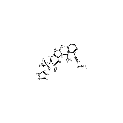 CC(c1ccccc1C#CCN)n1c(=O)oc2cc(S(=O)(=O)Nc3ncns3)c(Cl)cc21